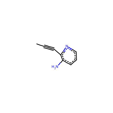 CC#Cc1ncccc1N